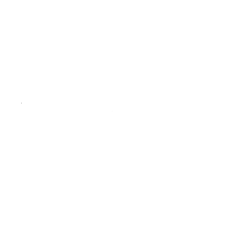 CC(=O)OCCCCOC(=O)c1ccc(-c2ccccc2)cc1